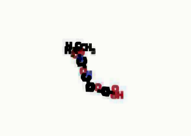 CC(C)(C)OC(=O)N1CCC(COc2ccc(-c3cccc(OCc4ccc(C(=O)O)cc4)c3)cn2)CC1